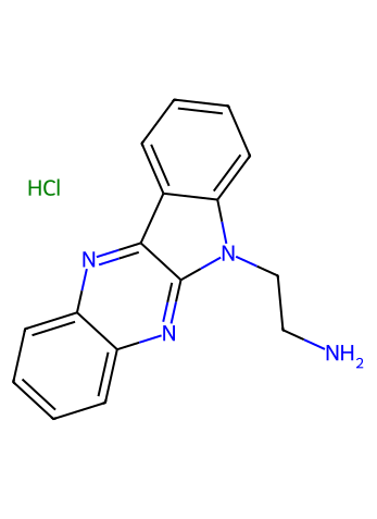 Cl.NCCn1c2ccccc2c2nc3ccccc3nc21